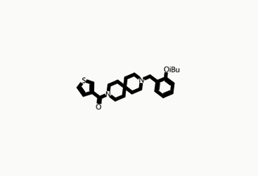 CC(C)COc1ccccc1CN1CCC2(CC1)CCN(C(=O)c1ccsc1)CC2